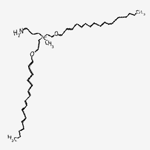 CCCCCCCCCCCCCCCCOCC[N+](C)(CCCN)CCOCCCCCCCCCCCCCCCC